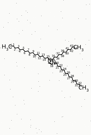 CCCCCCCCCCCCCCCCN1C=CN(CCCCCCCCCCCCCC)C1CCCCCCCCCC